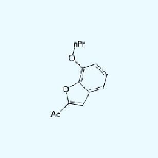 CCCOc1cccc2cc(C(C)=O)oc12